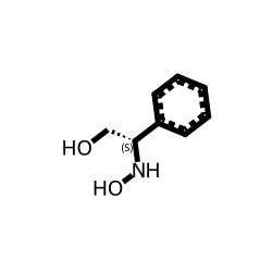 OC[C@@H](NO)c1ccccc1